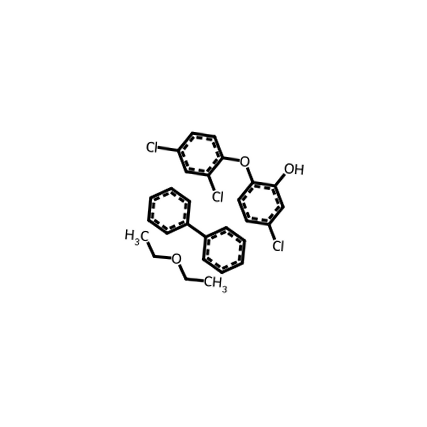 CCOCC.Oc1cc(Cl)ccc1Oc1ccc(Cl)cc1Cl.c1ccc(-c2ccccc2)cc1